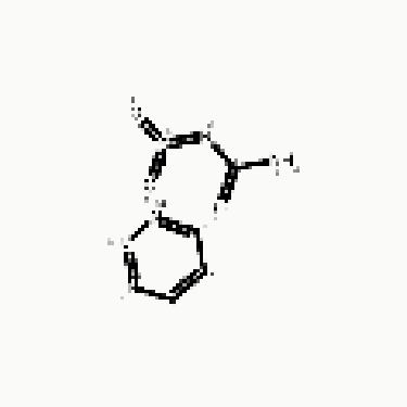 NC(=O)N=S(=O)=O.c1cnnnc1